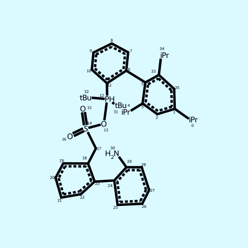 CC(C)c1cc(C(C)C)c(-c2ccccc2[PH](OS(=O)(=O)Cc2ccccc2-c2ccccc2N)(C(C)(C)C)C(C)(C)C)c(C(C)C)c1